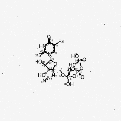 [N-]=[N+]=N[C@]1(COP(=O)(O)OP(=O)(O)OP(=O)(O)O)O[C@@H](n2cc(F)c(=O)[nH]c2=S)C(O)[C@H]1O